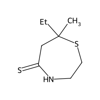 CCC1(C)CC(=S)NCCS1